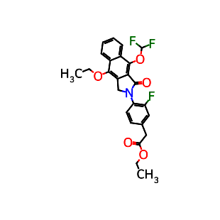 CCOC(=O)Cc1ccc(N2Cc3c(c(OC(F)F)c4ccccc4c3OCC)C2=O)c(F)c1